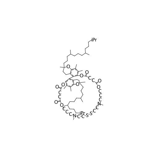 Cc1c(C)c2c(c3c1OC(C)(CCCC(C)CCCC(C)CCCC(C)C)CC3)-c1c3c(c(C)c(C)c1OC(=O)CCC(=O)OCCCN(C)CCSSCCN(C)CCCOC(=O)CCC(=O)O2)OC(C)(CCCC(C)CCCC(C)CCCC(C)C)CC3